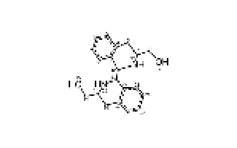 OCC1Cc2ccccc2C(C2NC(CO)Cc3ccccc32)N1